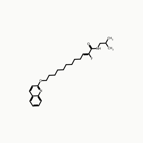 CC(C)CNC(=O)C(F)=CCCCCCCCCCOc1ccc2ccccc2n1